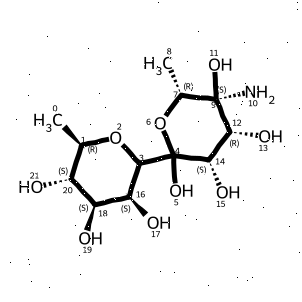 C[C@H]1OC(C2(O)O[C@H](C)[C@@](N)(O)[C@H](O)[C@@H]2O)[C@@H](O)[C@@H](O)[C@@H]1O